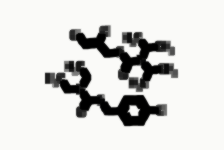 CC(C)N(C(=O)SC/C(Cl)=C/Cl)C(C)C.CCN(CC)C(=O)SCc1ccc(Cl)cc1